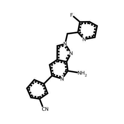 N#Cc1cccc(-c2cc3cn(Cc4ncccc4F)nc3c(N)n2)c1